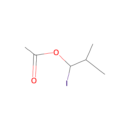 CC(=O)OC(I)C(C)C